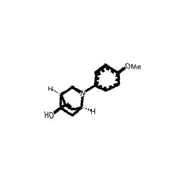 COc1ccc(N2C[C@@H]3CC[C@H]2C=C3O)cc1